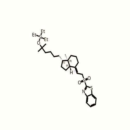 CC[Si](CC)(CC)OC(C)(C)CCCC[C@H]1CC[C@H]2/C(=C/CS(=O)(=O)c3nc4ccccc4s3)CCC[C@]12C